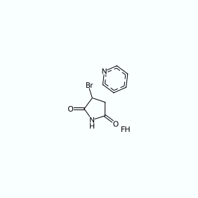 F.O=C1CC(Br)C(=O)N1.c1ccncc1